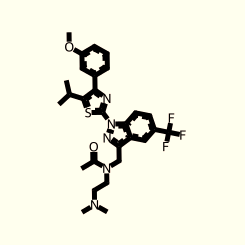 COc1cccc(-c2nc(-n3nc(CN(CCN(C)C)C(C)=O)c4cc(C(F)(F)F)ccc43)sc2C(C)C)c1